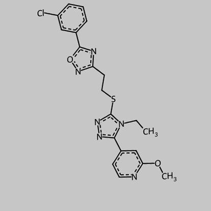 CCn1c(SCCc2noc(-c3cccc(Cl)c3)n2)nnc1-c1ccnc(OC)c1